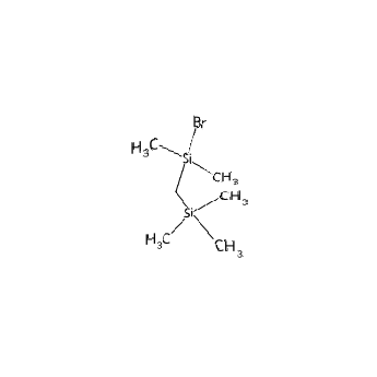 C[Si](C)(C)C[Si](C)(C)Br